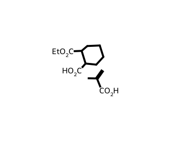 C=C(C)C(=O)O.CCOC(=O)C1CCCCC1C(=O)O